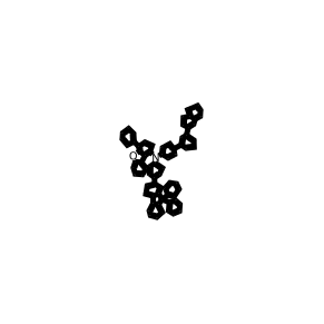 c1ccc(-c2ccc(N(c3ccc(-c4cccc(-c5ccc6ccccc6c5)c4)cc3)c3ccc(-c4ccc5c(c4)C(c4ccccc4)(c4ccccc4)c4ccccc4-5)cc3)c3c2oc2ccccc23)cc1